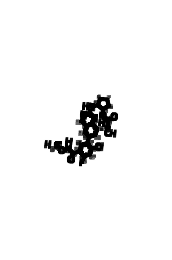 C#CC(=O)NC1CCCC1Nc1ncc2cc(-c3cc(C(=O)NOC)c(F)cc3Cl)ccc2n1